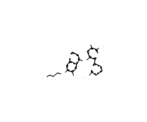 COc1cc2c(Oc3cc(C)c(C)nc3-c3cccc(C)n3)ccnc2cc1OCCCO